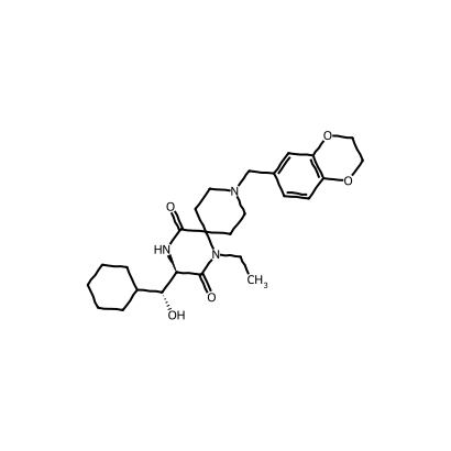 CCN1C(=O)[C@@H]([C@H](O)C2CCCCC2)NC(=O)C12CCN(Cc1ccc3c(c1)OCCO3)CC2